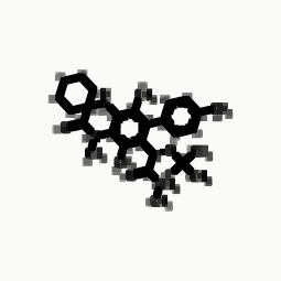 COC(=O)[C@@H](OC(C)(C)C)c1c(C)c2c(c(C)c1-c1ccc(C)cc1)NC1(CCCCC1)C(=O)N2C